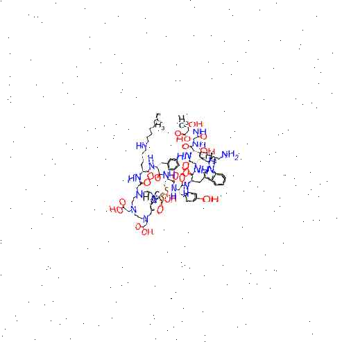 CCCCCCCNCCCC[C@H](NC(=O)CN1CCN(CC(=O)O)CCN(CC(=O)O)CCN(CC(=O)O)CC1)C(=O)N[C@H](Cc1ccccc1)C(=O)N[C@@H](CSSC)C(=O)N[C@@H](Cc1ccc(O)cc1)C(=O)N[C@H](Cc1c[nH]c2ccccc12)C(=O)N[C@@H](CCCCN)C(=O)N[C@H](C(=O)NCC(=O)N[C@H](C(=O)O)[C@@H](C)O)[C@@H](C)O